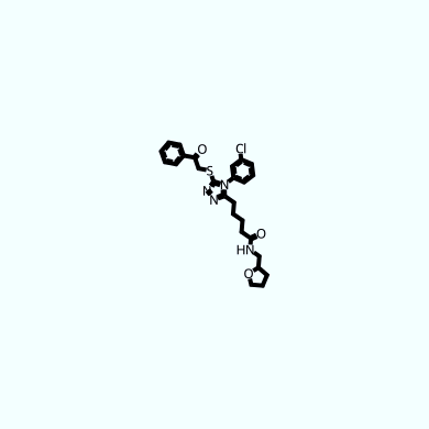 O=C(CCCCc1nnc(SCC(=O)c2ccccc2)n1-c1cccc(Cl)c1)NCC1CCCO1